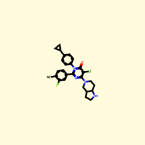 N#Cc1ccc(-c2nc(N3CCC4NCCC4C3)c(Cl)c(=O)n2-c2ccc(C3CC3)cc2)cc1F